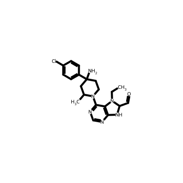 CCN1c2c(ncnc2N2CCC(N)(c3ccc(Cl)cc3)CC2C)NC1C=O